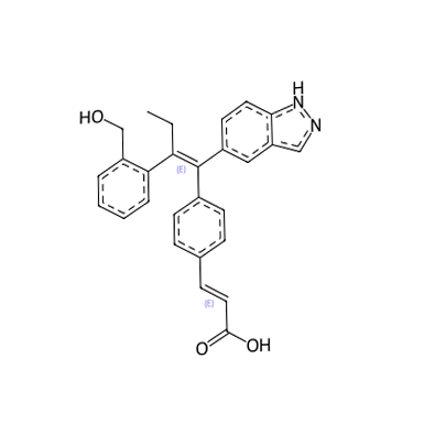 CC/C(=C(/c1ccc(/C=C/C(=O)O)cc1)c1ccc2[nH]ncc2c1)c1ccccc1CO